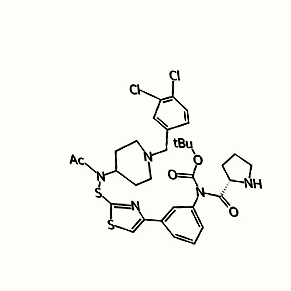 CC(=O)N(Sc1nc(-c2cccc(N(C(=O)OC(C)(C)C)C(=O)[C@@H]3CCCN3)c2)cs1)C1CCN(Cc2ccc(Cl)c(Cl)c2)CC1